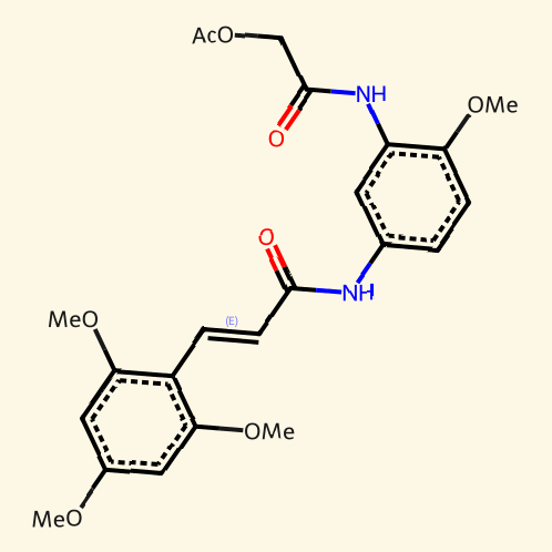 COc1cc(OC)c(/C=C/C(=O)Nc2ccc(OC)c(NC(=O)COC(C)=O)c2)c(OC)c1